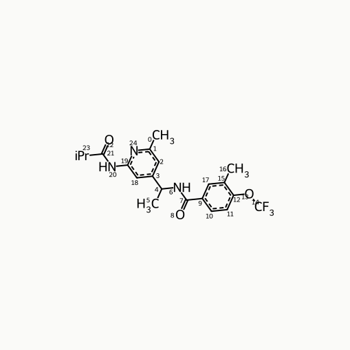 Cc1cc(C(C)NC(=O)c2ccc(OC(F)(F)F)c(C)c2)cc(NC(=O)C(C)C)n1